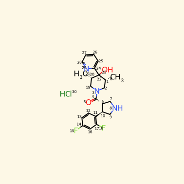 C[C@@H]1CN(C(=O)[C@@H]2CNC[C@H]2c2ccc(F)cc2F)C[C@H](C)C1(O)c1ccccn1.Cl